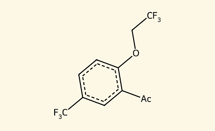 CC(=O)c1cc(C(F)(F)F)ccc1OCC(F)(F)F